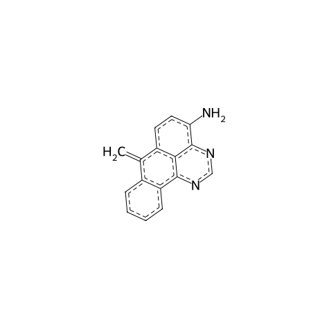 C=c1c2ccccc2c2ncnc3c(N)ccc1c32